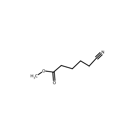 COC(=O)CCC[CH]C#N